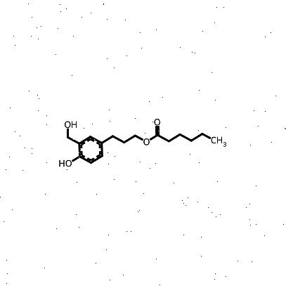 CCCCCC(=O)OCCCc1ccc(O)c(CO)c1